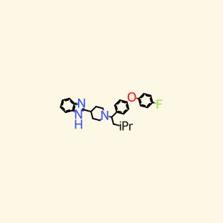 CC(C)CC(c1ccc(Oc2ccc(F)cc2)cc1)N1CCC(c2nc3ccccc3[nH]2)CC1